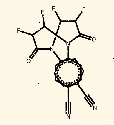 N#Cc1ccc(N2C(=O)C(F)C(F)C23C(F)C(F)C(=O)N3c2ccc(C#N)cc2)cc1